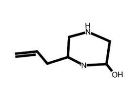 C=CCC1CNCC(O)[N]1